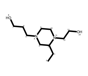 CCC1CN(CCCO)CCN1CCO